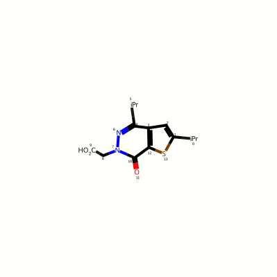 CC(C)c1cc2c(C(C)C)nn(CC(=O)O)c(=O)c2s1